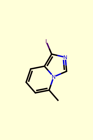 Cc1cccc2c(I)ncn12